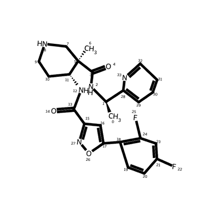 C[C@@H](NC(=O)[C@]1(C)CNCC[C@H]1NC(=O)c1cc(-c2ccc(F)cc2F)on1)c1ccccn1